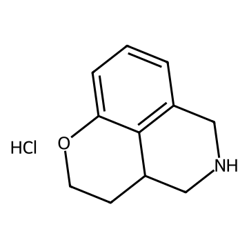 Cl.c1cc2c3c(c1)OCCC3CNC2